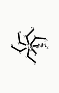 C[CH2][Ta]([CH3])([NH2])([CH2]C)([CH2]C)([CH2]C)[CH2]C